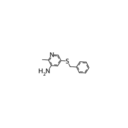 Cc1ncc(SCc2ccccc2)cc1N